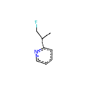 CC(CF)c1ccccn1